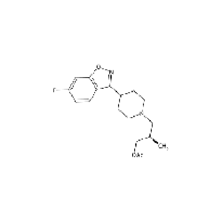 CC(=O)OC[C@H](C)CN1CCC(c2noc3cc(F)ccc23)CC1